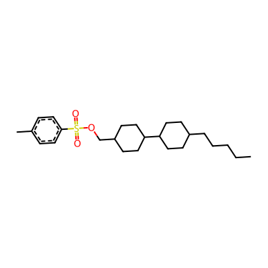 CCCCCC1CCC(C2CCC(COS(=O)(=O)c3ccc(C)cc3)CC2)CC1